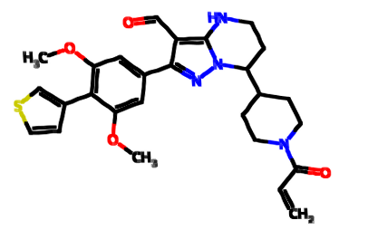 C=CC(=O)N1CCC(C2CCNc3c(C=O)c(-c4cc(OC)c(-c5ccsc5)c(OC)c4)nn32)CC1